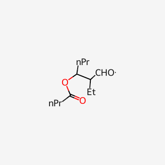 CCCC(=O)OC(CCC)C([C]=O)CC